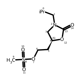 CC(C)CN1C[C@H](CCOS(C)(=O)=O)OC1=O